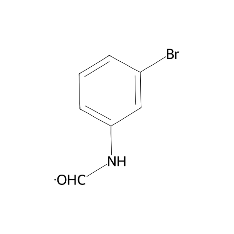 O=[C]Nc1cccc(Br)c1